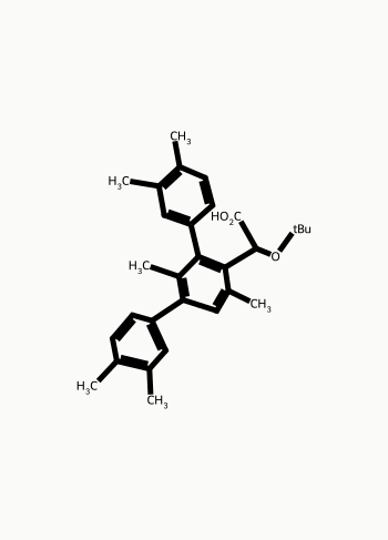 Cc1ccc(-c2cc(C)c(C(OC(C)(C)C)C(=O)O)c(-c3ccc(C)c(C)c3)c2C)cc1C